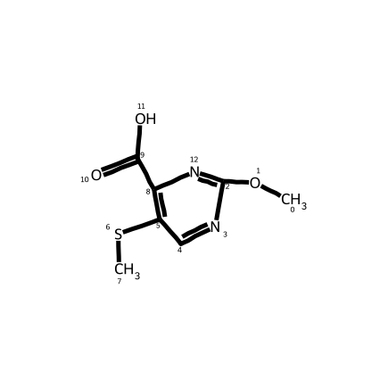 COc1ncc(SC)c(C(=O)O)n1